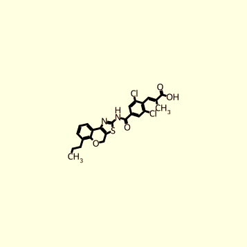 CCCc1cccc2c1OCc1sc(NC(=O)c3cc(Cl)c(C=C(C)C(=O)O)c(Cl)c3)nc1-2